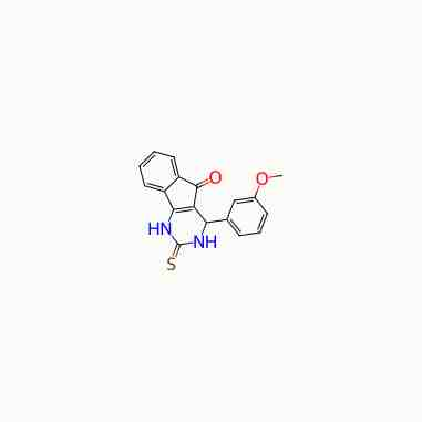 COc1cccc(C2NC(=S)NC3=C2C(=O)c2ccccc23)c1